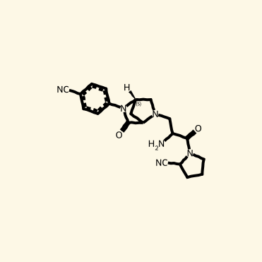 N#Cc1ccc(N2C(=O)C3C[C@H]2CN3CC(N)C(=O)N2CCCC2C#N)cc1